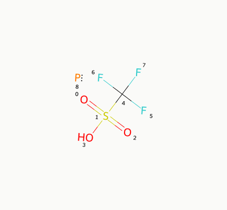 O=S(=O)(O)C(F)(F)F.[P]